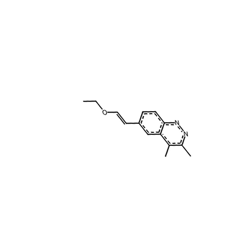 CCO/C=C/c1ccc2nnc(C)c(C)c2c1